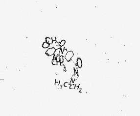 C=C(C)N1CCN(C(=O)[C@H]2CC[C@H](Cn3c(=O)c4cc(OC)ccc4n(C)c3=O)CC2)CC1